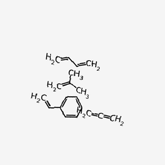 C=C(C)C.C=C=C.C=CC=C.C=Cc1ccccc1